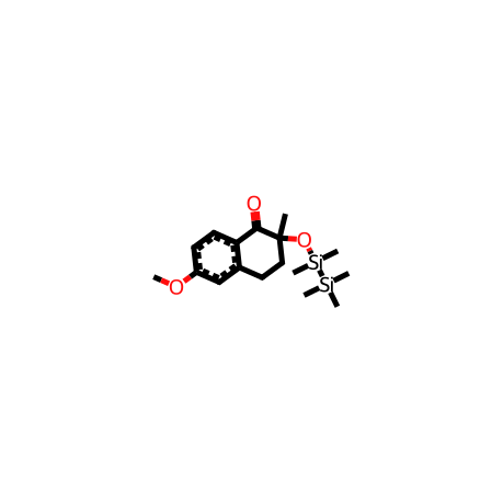 COc1ccc2c(c1)CCC(C)(O[Si](C)(C)[Si](C)(C)C)C2=O